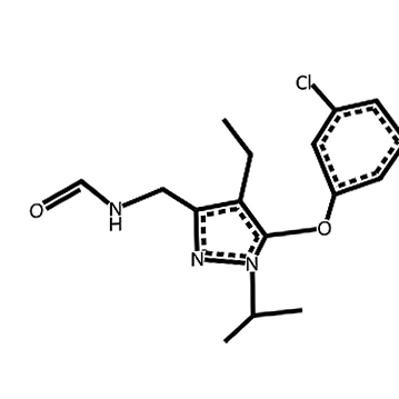 CCc1c(CNC=O)nn(C(C)C)c1Oc1cccc(Cl)c1